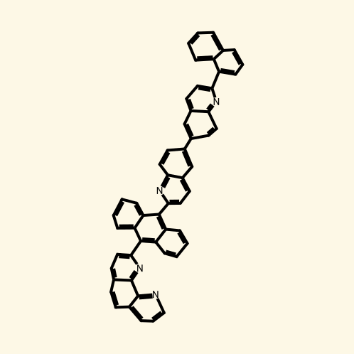 c1ccc2c(-c3ccc4cc(-c5ccc6nc(-c7c8ccccc8c(-c8ccc9ccc%10cccnc%10c9n8)c8ccccc78)ccc6c5)ccc4n3)cccc2c1